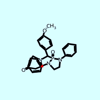 COc1ccc(C(N2CCC(=O)CC2)P2(=O)N(c3ccccc3)CCN2c2ccccc2)cc1